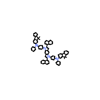 CC1(C)c2ccccc2-c2ccc(N(c3ccccc3)c3ccc(-n4c(-c5cccc6ccccc56)cc5cc6c(cc(-c7cccc8ccccc78)n6-c6ccc(N(c7ccccc7)c7ccc8c(c7)C(C)(C)c7ccccc7-8)cc6)cc54)cc3)cc21